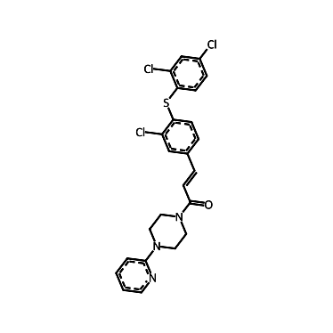 O=C(C=Cc1ccc(Sc2ccc(Cl)cc2Cl)c(Cl)c1)N1CCN(c2ccccn2)CC1